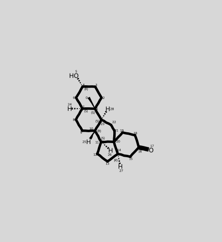 C[C@]12CC[C@@H](O)C[C@@H]1CC[C@H]1[C@@H]3CC[C@@H]4CC(=O)CCC43CC[C@@H]12